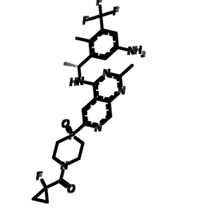 Cc1nc(N[C@H](C)c2cc(N)cc(C(F)(F)F)c2C)c2cc(P3(=O)CCN(C(=O)C4(F)CC4)CC3)ncc2n1